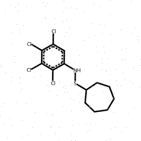 Clc1cc(NSC2CCCCCC2)c(Cl)c(Cl)c1Cl